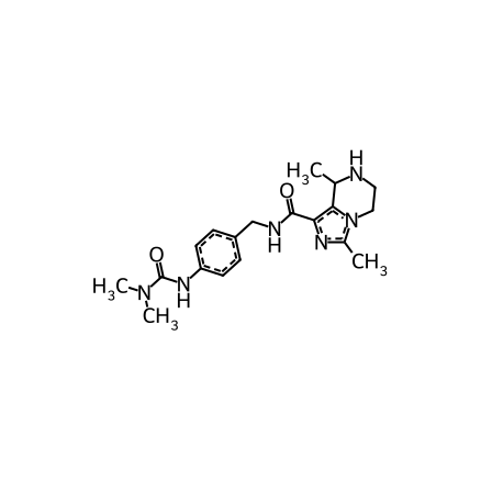 Cc1nc(C(=O)NCc2ccc(NC(=O)N(C)C)cc2)c2n1CCNC2C